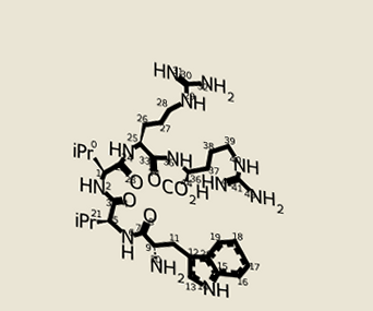 CC(C)[C@H](NC(=O)[C@@H](NC(=O)[C@@H](N)Cc1c[nH]c2ccccc12)C(C)C)C(=O)N[C@@H](CCCNC(=N)N)C(=O)N[C@@H](CCCNC(=N)N)C(=O)O